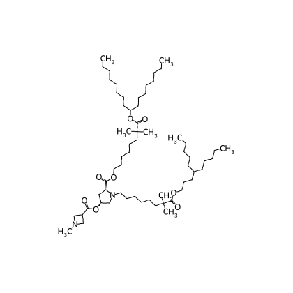 CCCCCCCCC(CCCCCCCC)OC(=O)C(C)(C)CCCCCCOC(=O)[C@@H]1C[C@H](OC(=O)C2CN(C)C2)CN1CCCCCCC(C)(C)C(=O)OCCCC(CCCCC)CCCCC